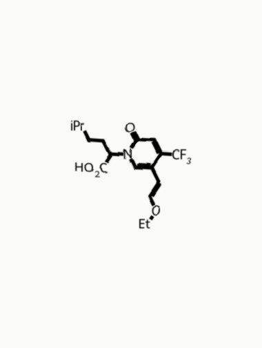 CCOC=Cc1cn(C(CCC(C)C)C(=O)O)c(=O)cc1C(F)(F)F